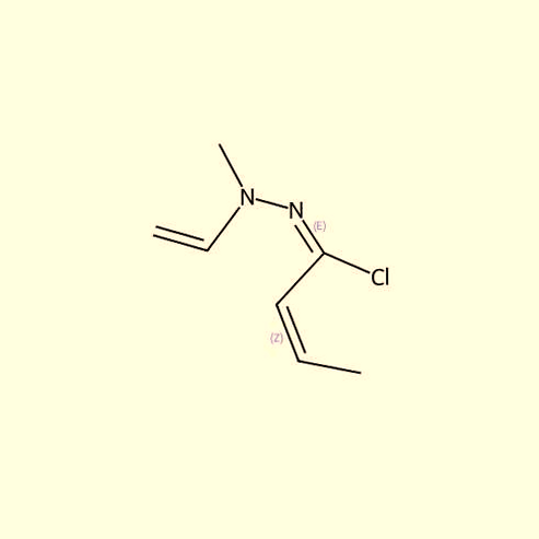 C=CN(C)/N=C(Cl)\C=C/C